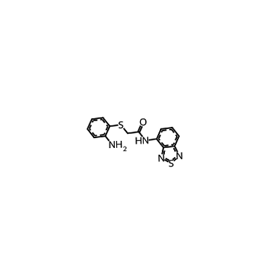 Nc1ccccc1SCC(=O)Nc1cccc2nsnc12